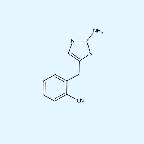 N#Cc1ccccc1Cc1cnc(N)s1